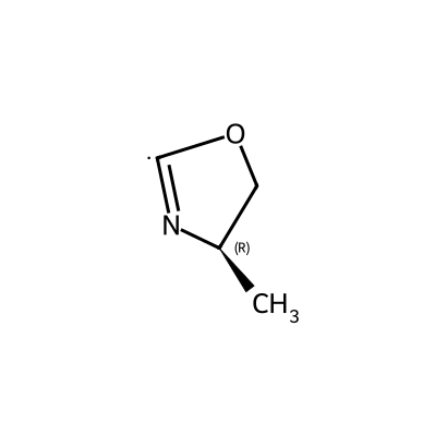 C[C@@H]1CO[C]=N1